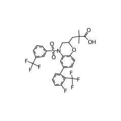 CC(C)(CC1CN(S(=O)(=O)c2cccc(C(F)(F)F)c2)c2cc(-c3cccc(F)c3C(F)(F)F)ccc2O1)C(=O)O